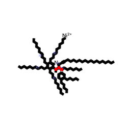 CCCCCC/C=C/CCc1c(CC/C=C/CCCCCC)c(CC/C=C/CCCCCC)c(/N=C(C#CCCCCCCCCCCCCCCCCC)\C(CC)=N\c2ccc(CCCCC)c(CCCCC)c2)c(CC/C=C/CCCCCC)c1CC/C=C/CCCCCC.[Ni+2]